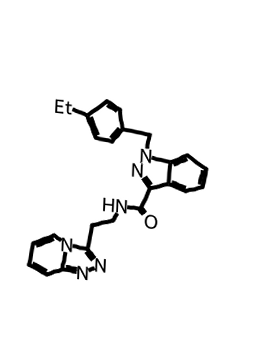 CCc1ccc(Cn2nc(C(=O)NCCc3nnc4ccccn34)c3ccccc32)cc1